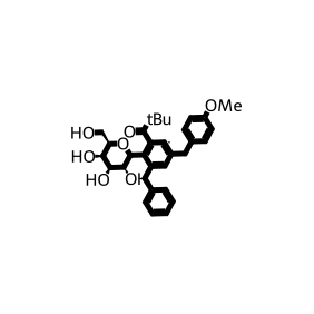 COc1ccc(Cc2[c]c(C(=O)C(C)(C)C)c(C3O[C@H](CO)[C@H](O)[C@H](O)[C@H]3O)c(Cc3ccccc3)c2)cc1